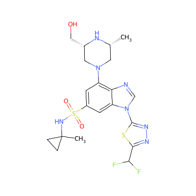 C[C@@H]1CN(c2cc(S(=O)(=O)NC3(C)CC3)cc3c2ncn3-c2nnc(C(F)F)s2)C[C@H](CO)N1